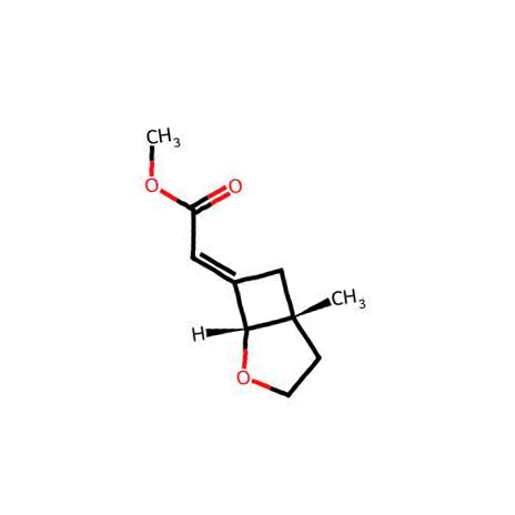 COC(=O)/C=C1\C[C@]2(C)CCO[C@H]12